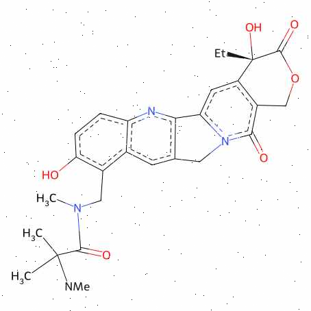 CC[C@@]1(O)C(=O)OCc2c1cc1n(c2=O)Cc2cc3c(CN(C)C(=O)C(C)(C)NC)c(O)ccc3nc2-1